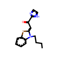 CCCCN1/C(=C/C(=O)c2ncc[nH]2)Sc2ccccc21